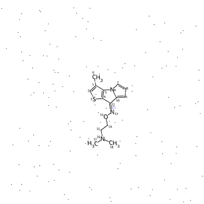 Cc1csc2c1-n1cccc1/C2=N/OCCN(C)C